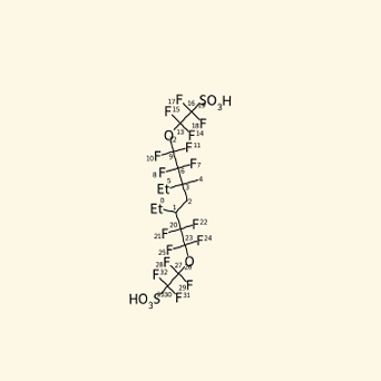 CCC(CC(C)(CC)C(F)(F)C(F)(F)OC(F)(F)C(F)(F)S(=O)(=O)O)C(F)(F)C(F)(F)OC(F)(F)C(F)(F)S(=O)(=O)O